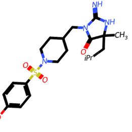 CC(C)CC1(C)NC(=N)N(CC2CCN(S(=O)(=O)c3ccc(O)cc3)CC2)C1=O